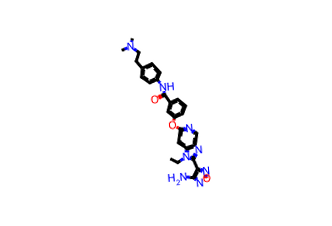 CCn1c(-c2nonc2N)nc2cnc(Oc3cccc(C(=O)Nc4ccc(CCN(C)C)cc4)c3)cc21